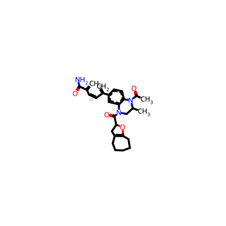 C=C(/C=C\C(=C)c1ccc2c(c1)N(C(=O)C1CC3=C(CCCCC3)O1)CC(C)N2C(C)=O)C(N)=O